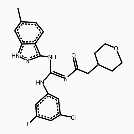 Cc1ccc2c(N/C(=N\C(=O)CC3CCOCC3)Nc3cc(F)cc(Cl)c3)n[nH]c2c1